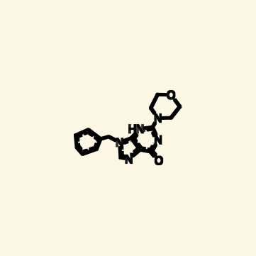 O=c1nc(N2CCOCC2)[nH]c2c1ncn2Cc1ccccc1